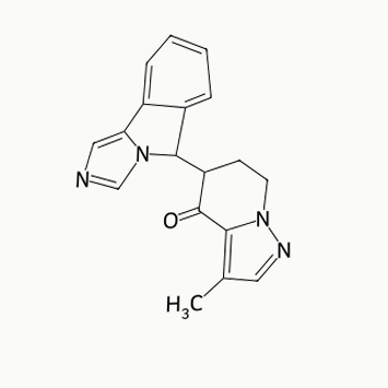 Cc1cnn2c1C(=O)C(C1c3ccccc3-c3cncn31)CC2